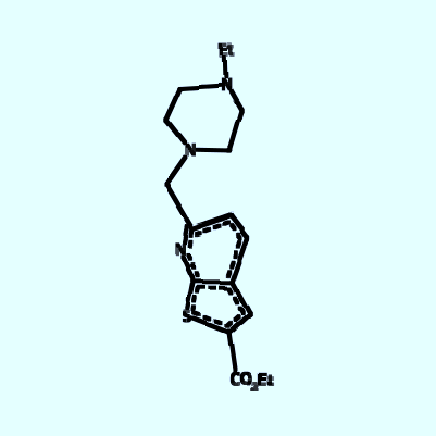 CCOC(=O)c1cc2ccc(CN3CCN(CC)CC3)nc2s1